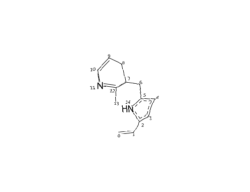 C=Cc1ccc(CC2CC=CN=C2C)[nH]1